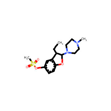 CCC1c2cc(OS(C)(=O)=O)ccc2OC1N1CCN(C)CC1